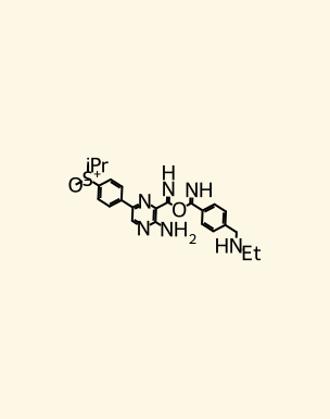 CCNCc1ccc(C(=N)OC(=N)c2nc(-c3ccc([S+]([O-])C(C)C)cc3)cnc2N)cc1